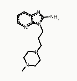 CN1CCN(CCCn2c(N)nc3cccnc32)CC1